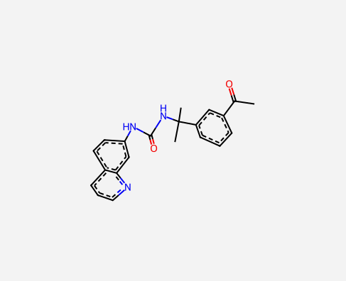 CC(=O)c1cccc(C(C)(C)NC(=O)Nc2ccc3cccnc3c2)c1